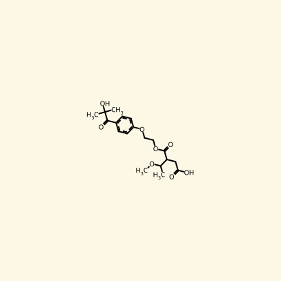 COC(C)C(CC(=O)O)C(=O)OCCOc1ccc(C(=O)C(C)(C)O)cc1